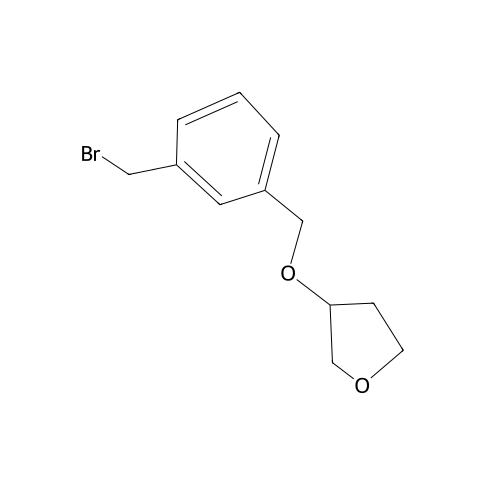 BrCc1cccc(COC2CCOC2)c1